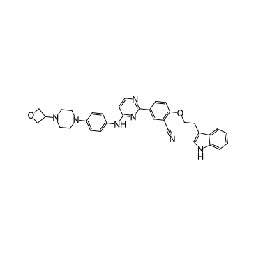 N#Cc1cc(-c2nccc(Nc3ccc(N4CCN(C5COC5)CC4)cc3)n2)ccc1OCCc1c[nH]c2ccccc12